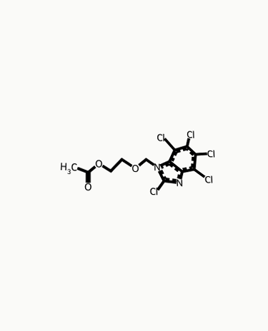 CC(=O)OCCOCn1c(Cl)nc2c(Cl)c(Cl)c(Cl)c(Cl)c21